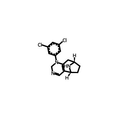 Clc1cc(Cl)cc(N2CN=CC3=C2C[C@@H]2CC[C@H]3N2)c1